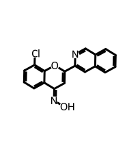 ON=c1cc(-c2cc3ccccc3cn2)oc2c(Cl)cccc12